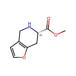 COC(=O)[C@@H]1Cc2occc2CN1